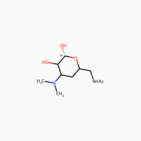 CC(=O)NCC1CC(N(C)C)C(O)[C@H](O)O1